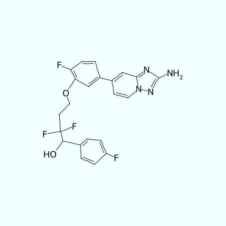 Nc1nc2cc(-c3ccc(F)c(OCCC(F)(F)C(O)c4ccc(F)cc4)c3)ccn2n1